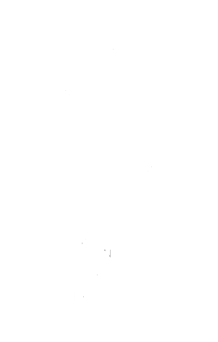 CC(C)(O)C(=O)c1ccc(Oc2ccc([N+]3([O-])C=CC3(C)O)cc2)cc1